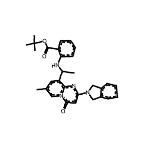 Cc1cc(C(C)Nc2ccccc2C(=O)OC(C)(C)C)c2nc(N3Cc4ccccc4C3)cc(=O)n2c1